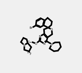 F[C@H]1CN2CCC[C@@]2(COc2nc3c(c(N4CCCCCC4)n2)COC2(CCCc4ccc(Br)cc42)C3)C1